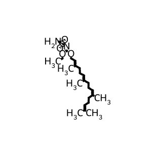 CCO/C(=N\S(N)(=O)=O)OC/C=C(\C)CC/C=C(\C)CCC=C(C)CCC=C(C)C